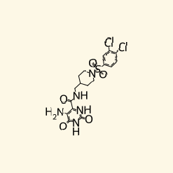 Nc1c(C(=O)NCC2CCN(S(=O)(=O)c3ccc(Cl)c(Cl)c3)CC2)[nH]c(=O)[nH]c1=O